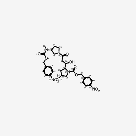 CN(C(=O)OCc1ccc([N+](=O)[O-])cc1)[C@H]1CCN(C(=O)CC(O)[C@@H]2C[C@H](S)CN2C(=O)OCc2ccc([N+](=O)[O-])cc2)C1